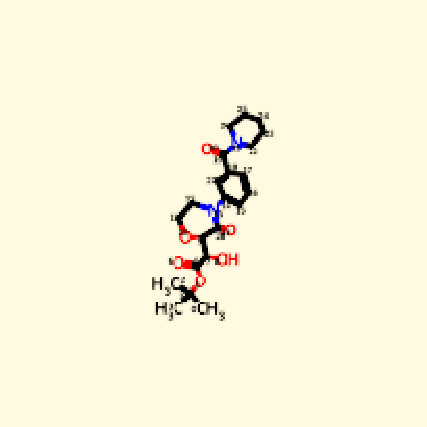 CC(C)(C)OC(=O)[C@H](O)[C@H]1OCCN(c2cccc(C(=O)N3CCCCC3)c2)C1=O